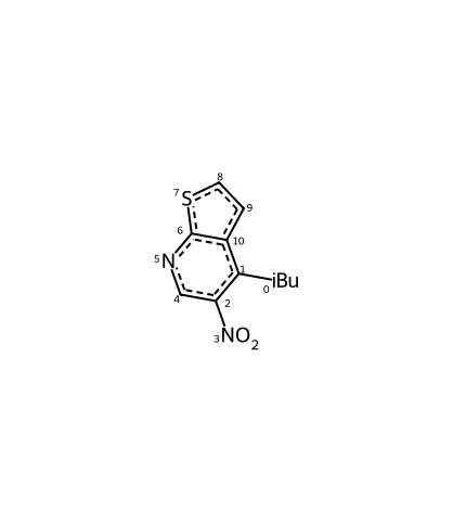 CCC(C)c1c([N+](=O)[O-])cnc2sccc12